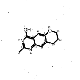 Cc1nc(O)c2cc3c(cc2n1)CC[CH]O3